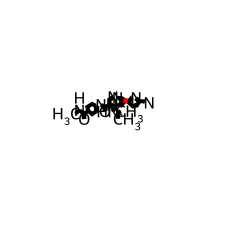 CNC(=O)C1CCC(NC(=O)c2cnn3cc(-c4ccc(C#N)nc4)cc3c2NC(C)C)CC1